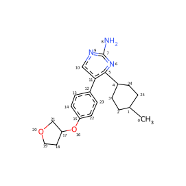 CC1CCC(c2nc(N)ncc2-c2ccc(OC3CCOC3)cc2)CC1